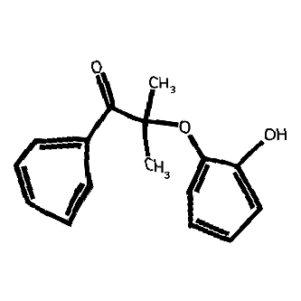 CC(C)(Oc1ccccc1O)C(=O)c1ccccc1